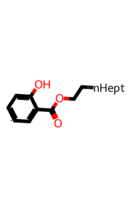 CCCCCCCCCOC(=O)c1c[c]ccc1O